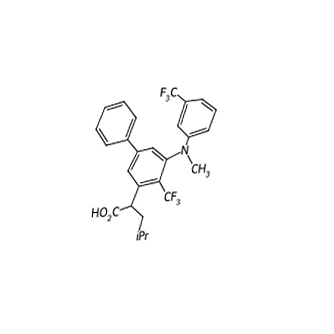 CC(C)CC(C(=O)O)c1cc(-c2ccccc2)cc(N(C)c2cccc(C(F)(F)F)c2)c1C(F)(F)F